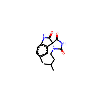 Cc1ccc2c(c1)[C@]1(C(=O)NC(=O)N1CCC(C)C)C(=O)N2